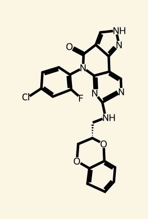 O=c1c2c[nH]nc2c2cnc(NC[C@H]3COc4ccccc4O3)nc2n1-c1ccc(Cl)cc1F